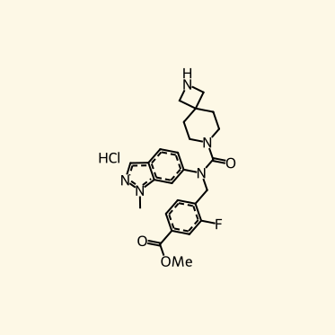 COC(=O)c1ccc(CN(C(=O)N2CCC3(CC2)CNC3)c2ccc3cnn(C)c3c2)c(F)c1.Cl